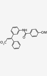 COc1ccc(C(=O)Nc2cccc(C(=CC(=O)O)c3ccccc3)c2)cc1